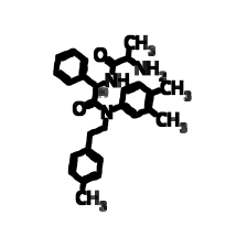 Cc1ccc(CCN(C(=O)[C@H](NC(=O)C(C)N)c2ccccc2)c2ccc(C)c(C)c2)cc1